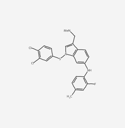 CNCc1cn(Sc2ccc(Cl)c(Cl)c2)c2cc(Nc3ccc(C)cc3F)ccc12